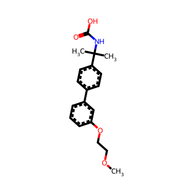 COCCOc1cccc(-c2ccc(C(C)(C)NC(=O)O)cc2)c1